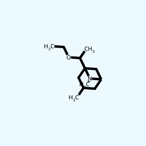 CCOC(C)C12CC(C)CC(C1)N2C